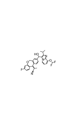 C/C(C#N)=C1\c2ccc(C(O)c3c(C(C)C)nc4c(OC(F)F)cccn34)cc2COc2cc(F)ccc21